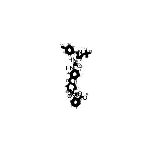 COC(=O)c1ccccc1S(=O)(=O)N1CCC(Cc2cccc(NC(=O)Nc3cc(C(C)(C)C)nn3-c3ccc(C)cc3)c2)CC1